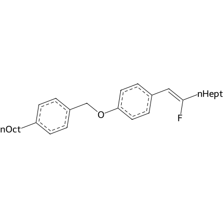 CCCCCCCCc1ccc(COc2ccc(C=C(F)CCCCCCC)cc2)cc1